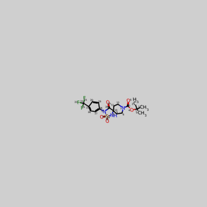 CC(C)(C)OC(=O)N1CCC2(CC1)NS(=O)(=O)N(c1ccc(C(F)(F)F)cc1)C2=O